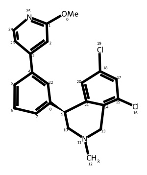 COc1cc(-c2cccc([C@@H]3CN(C)Cc4c(Cl)cc(Cl)cc43)c2)ccn1